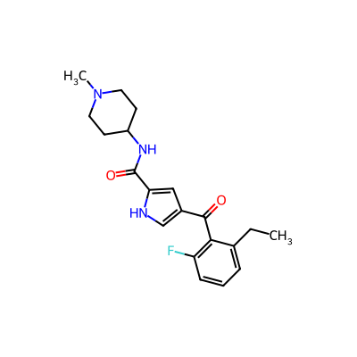 CCc1cccc(F)c1C(=O)c1c[nH]c(C(=O)NC2CCN(C)CC2)c1